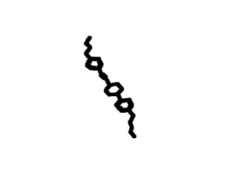 CCCCCc1ccc(C2CCC(C#Cc3ccc(CCCC)cc3)CC2)cc1